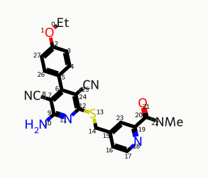 CCOc1ccc(-c2c(C#N)c(N)nc(SCc3ccnc(C(=O)NC)c3)c2C#N)cc1